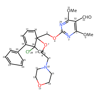 COc1nc(OCC2(OCCN3CCOCC3)C=CC=C(c3ccccc3)C2(C)Cl)nc(OC)c1C=O